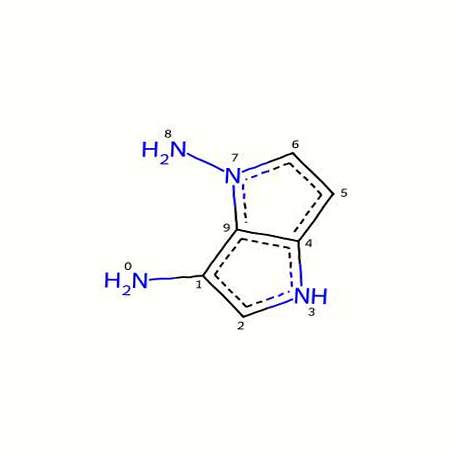 Nc1c[nH]c2ccn(N)c12